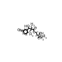 [C-]#[N+]c1cc(C(O)C(C)(C)C(=O)OCC[Si](C)(C)C)ccn1